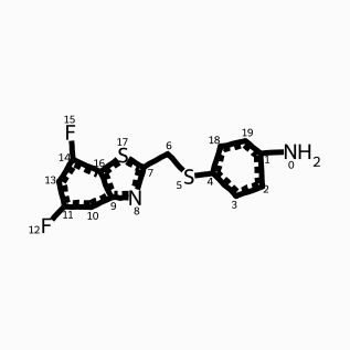 Nc1ccc(SCc2nc3cc(F)cc(F)c3s2)cc1